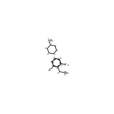 CCC[C@H]1CC[C@H](c2cc(F)c(CC(C)CC)c(F)c2)CC1